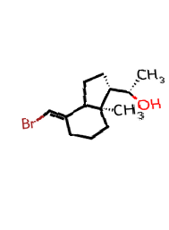 C[C@H](O)[C@H]1CCC2/C(=C/Br)CCC[C@@]21C